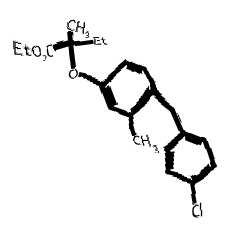 CCOC(=O)C(C)(CC)Oc1ccc(Cc2ccc(Cl)cc2)c(C)c1